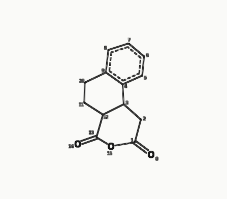 O=C1CC2c3ccccc3CCC2C(=O)O1